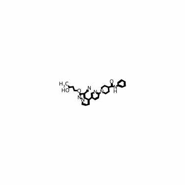 CC(O)CCOc1nn2cccc(-c3ccc(N4CCC(C(=O)Nc5ccccc5)CC4)nc3)c2c1C#N